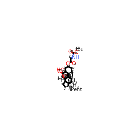 CCC[C@@H](C)[C@H]1CC[C@H]2[C@@H]3[C@H]4O[C@H](C)[C@@]5(CC[C@H](OC(=O)CNC(=O)OC(C)(C)C)C[C@]5(O)C4=O)[C@H]3CC[C@]12C